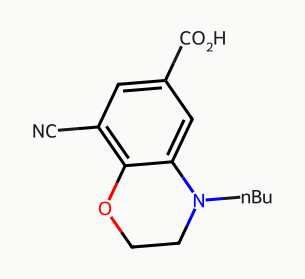 CCCCN1CCOc2c(C#N)cc(C(=O)O)cc21